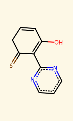 OC1=C(c2ncccn2)C(=S)CC=C1